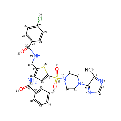 N#Cc1nccnc1N1CCN(S(=O)(=O)c2ccc(CNC(=O)c3ccc(Cl)cc3)s2)CC1.NC(=O)c1ccccc1